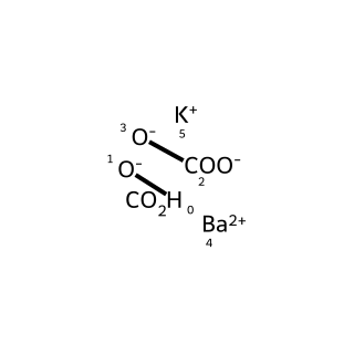 O=C([O-])O.O=C([O-])[O-].[Ba+2].[K+]